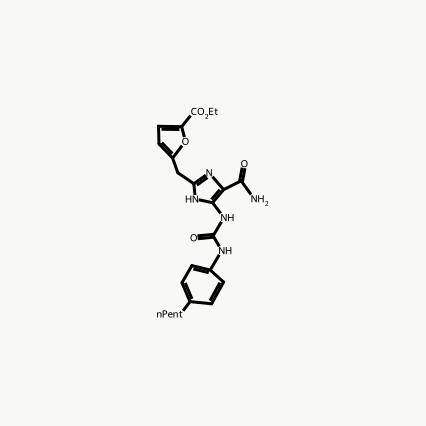 CCCCCc1ccc(NC(=O)Nc2[nH]c(Cc3ccc(C(=O)OCC)o3)nc2C(N)=O)cc1